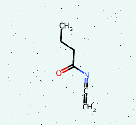 C=C=NC(=O)CCC